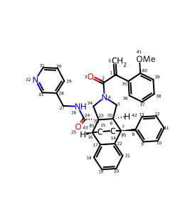 C=C(C(=O)N1C[C@H]2[C@@]3(c4ccccc4)CC[C@H](c4ccccc43)[C@@]2(C(=O)NCc2cccnc2)C1)c1ccccc1OC